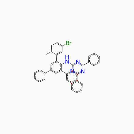 CC1CC=C(Br)C=C1c1cc(-c2ccccc2)cc(-c2ccccc2)c1Nc1nc(-c2ccccc2)nc(-c2ccccc2)n1